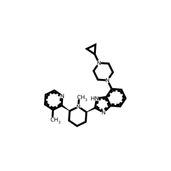 Cc1cccnc1[C@@H]1CCC[C@H](c2nc3cccc(N4CCN(C5CC5)CC4)c3[nH]2)N1C